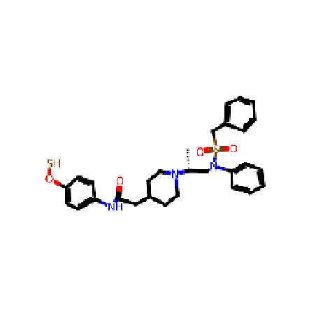 C[C@H](CN(c1ccccc1)S(=O)(=O)Cc1ccccc1)N1CCC(CC(=O)Nc2ccc(OS)cc2)CC1